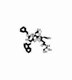 C=CC[C@H](NC(=O)[C@H](Cc1cccc2ccccc12)NC(=O)OCc1ccccc1)C(=O)N[C@@H](CC(C)C)[C@@H](O)CC(=O)N[C@H](CO)[C@@H](C)CC